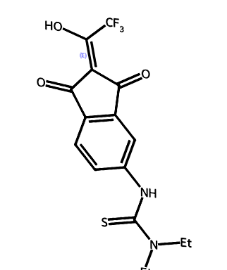 CCN(CC)C(=S)Nc1ccc2c(c1)C(=O)/C(=C(/O)C(F)(F)F)C2=O